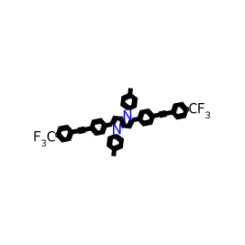 Cc1ccc(-n2c(-c3ccc(C#Cc4ccc(C(F)(F)F)cc4)cc3)cc3c2cc(-c2ccc(C#Cc4ccc(C(F)(F)F)cc4)cc2)n3-c2ccc(C)cc2)cc1